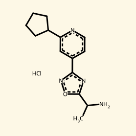 CC(N)c1nc(-c2ccnc(C3CCCC3)c2)no1.Cl